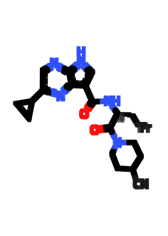 CC(C)C[C@@H](NC(=O)c1c[nH]c2ncc(C3CC3)nc12)C(=O)N1CCC(C#N)CC1